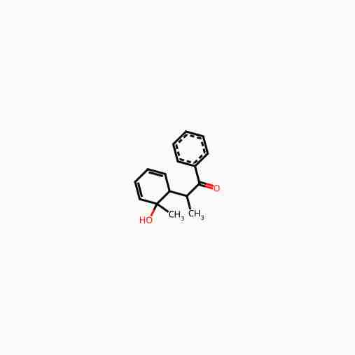 CC(C(=O)c1ccccc1)C1C=CC=CC1(C)O